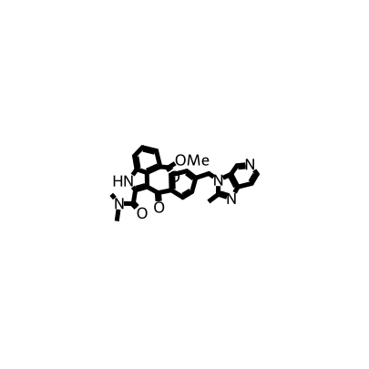 COC(=O)c1cccc2[nH]c(C(=O)N(C)C)c(C(=O)c3ccc(Cn4c(C)nc5ccncc54)cc3)c12